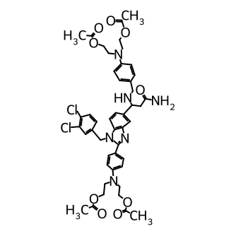 CC(=O)OCCN(CCOC(C)=O)c1ccc(CNC(CC(N)=O)c2ccc3c(c2)nc(-c2ccc(N(CCOC(C)=O)CCOC(C)=O)cc2)n3Cc2ccc(Cl)c(Cl)c2)cc1